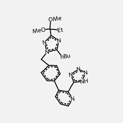 CCCCc1nc(C(CC)(OC)OC)nn1Cc1ccc(-c2cccnc2-c2nnn[nH]2)cc1